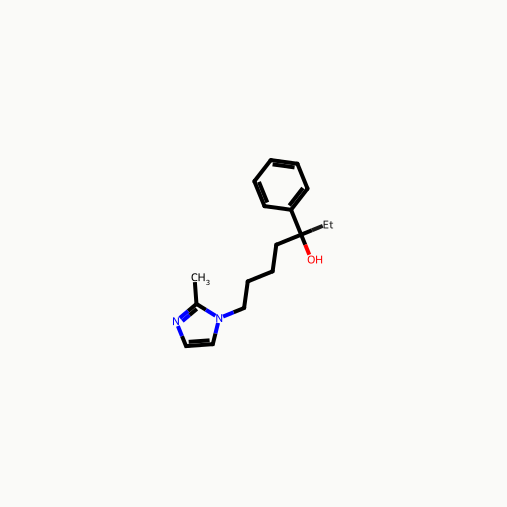 [CH2]CC(O)(CCCCn1ccnc1C)c1ccccc1